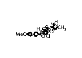 COC1C2CN([C@H]3CC[C@@H]([C@H]4COc5c(Cl)cc(C(=O)NCc6c(SC)cc(C)[nH]c6=O)c(C)c5O4)CC3)CC21